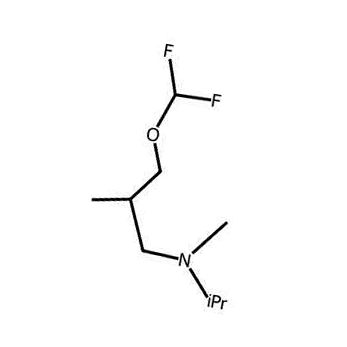 CC(COC(F)F)CN(C)C(C)C